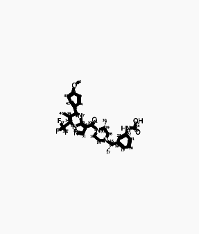 COc1ccc(-c2nc3c(C(=O)N4CCN([C@@H](C)c5cccc(NC(=O)O)c5)C[C@H]4C)cnn3c(C(F)(F)F)c2C)cc1